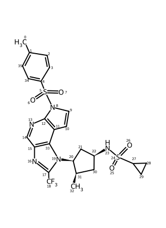 Cc1ccc(S(=O)(=O)n2ccc3c2ncc2nc(C(F)(F)F)n([C@H]4C[C@@H](NS(=O)(=O)C5CC5)C[C@H]4C)c23)cc1